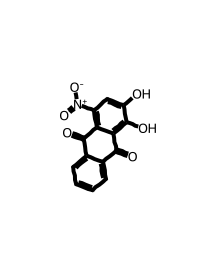 O=C1c2ccccc2C(=O)c2c(O)c(O)cc([N+](=O)[O-])c21